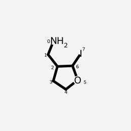 NCC1CCOC1I